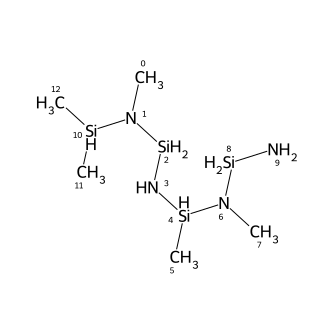 CN([SiH2]N[SiH](C)N(C)[SiH2]N)[SiH](C)C